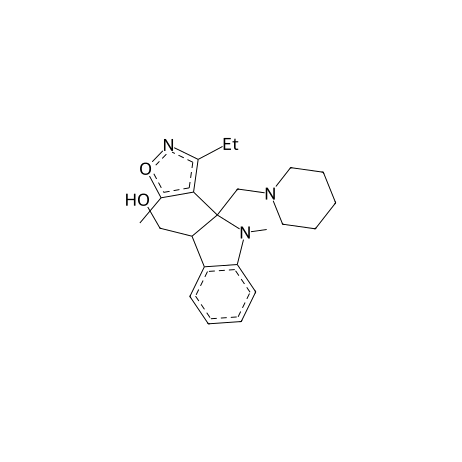 CCc1noc(C)c1C1(CN2CCCCC2)C(CO)c2ccccc2N1C